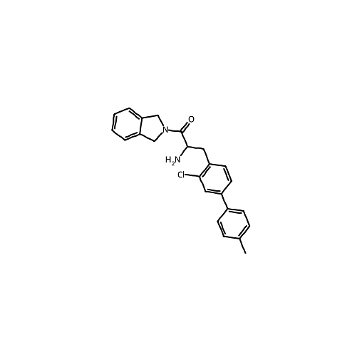 Cc1ccc(-c2ccc(CC(N)C(=O)N3Cc4ccccc4C3)c(Cl)c2)cc1